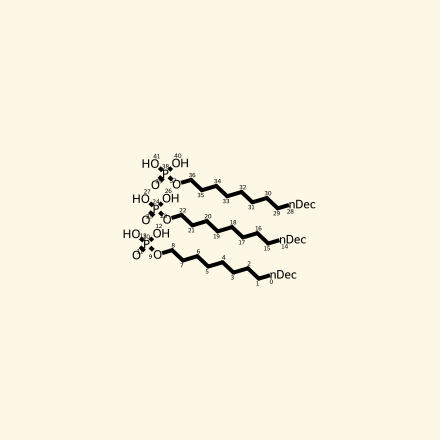 CCCCCCCCCCCCCCCCCCOP(=O)(O)O.CCCCCCCCCCCCCCCCCCOP(=O)(O)O.CCCCCCCCCCCCCCCCCCOP(=O)(O)O